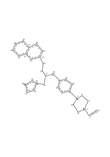 O=CN1CCN(c2ccc(OC(CCc3ccc4ccccc4c3)Cn3ccnc3)cc2)CC1